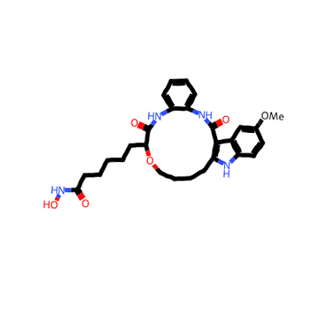 COc1ccc2[nH]c3c(c2c1)C(=O)Nc1ccccc1NC(=O)C(CCCCCC(=O)NO)OCCCC3